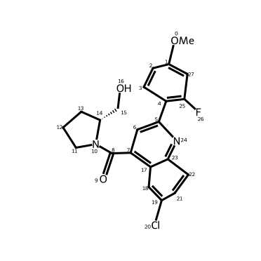 COc1ccc(-c2cc(C(=O)N3CCC[C@@H]3CO)c3cc(Cl)ccc3n2)c(F)c1